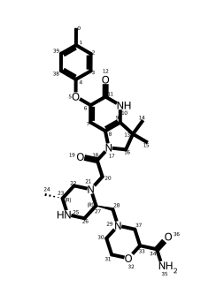 Cc1ccc(Oc2cc3c([nH]c2=O)C(C)(C)CN3C(=O)CN2C[C@@H](C)NC[C@@H]2CN2CCOC(C(N)=O)C2)cc1